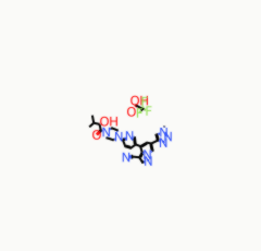 CC(C)C(O)C(=O)N1CCN(c2ccc(-c3cc(-c4cn(C)nn4)cn4ncc(C#N)c34)cn2)CC1.O=C(O)C(F)(F)F